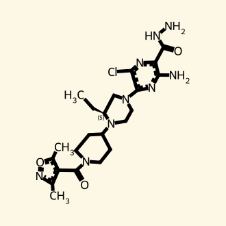 CC[C@H]1CN(c2nc(N)c(C(=O)NN)nc2Cl)CCN1C1CCN(C(=O)c2c(C)noc2C)CC1